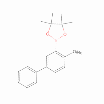 COc1ccc(-c2ccccc2)cc1B1OC(C)(C)C(C)(C)O1